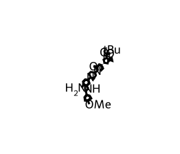 COc1ccc(CNc2cc(N3CCC(n4ccc([C@@H]5CN(C(=O)OC(C)(C)C)C6(CC6)C5)cc4=O)CC3)ccc2N)cc1